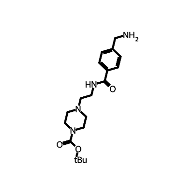 CC(C)(C)OC(=O)N1CCN(CCNC(=O)c2ccc(CN)cc2)CC1